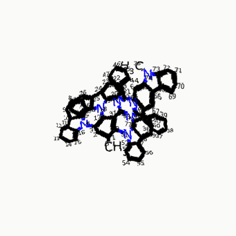 Cc1cc(-n2c3ccccc3c3ccccc32)c(-n2c3ccccc3c3ccccc32)c(-c2nc(-c3ccccc3)nc(-c3ccccc3)n2)c1-n1c2ccccc2c2ccc(-c3ccc4c(c3)c3ccccc3n4C)cc21